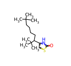 CC(C)(C)CCCCC(c1csc(=O)[nH]1)C(C)(C)C